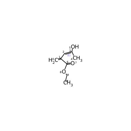 C=C(/C=C(\C)O)C(=O)OCC